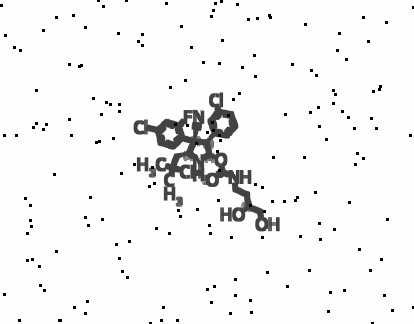 CC(C)(C)C[C@@H]1N[C@H](OC(=O)NCC[C@H](O)CO)[C@H](c2cccc(Cl)c2)[C@@]1(C#N)c1ccc(Cl)cc1F